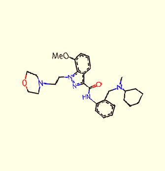 COc1cccc2c(C(=O)Nc3ccccc3CN(C)C3CCCCC3)nn(CCN3CCOCC3)c12